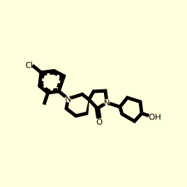 Cc1cc(Cl)ccc1N1CCC[C@]2(CCN(C3CCC(O)CC3)C2=O)C1